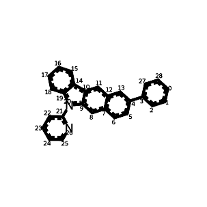 c1ccc(-c2ccc3cc4c(cc3c2)c2ccccc2n4-c2ccccn2)cc1